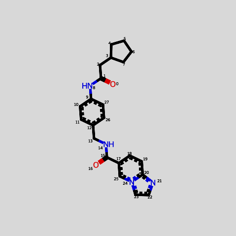 O=C(CC1CCCC1)Nc1ccc(CNC(=O)c2ccc3nccn3c2)cc1